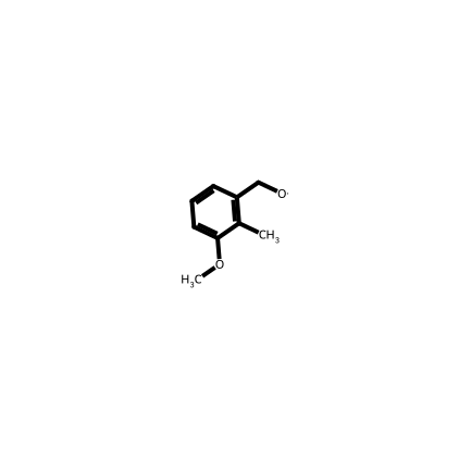 COc1cccc(C[O])c1C